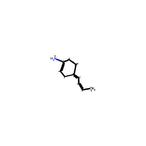 C/C=C\C=C1/CC=C(N)CC1